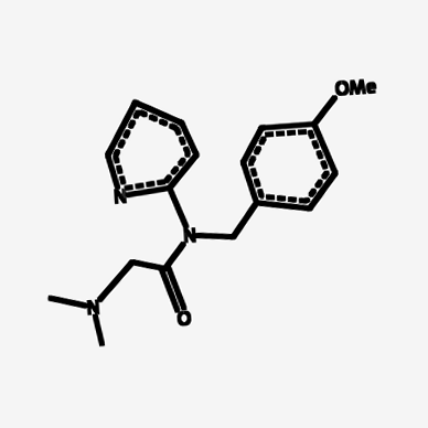 COc1ccc(CN(C(=O)CN(C)C)c2ccccn2)cc1